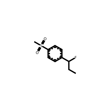 CCC(F)c1ccc(S(C)(=O)=O)cc1